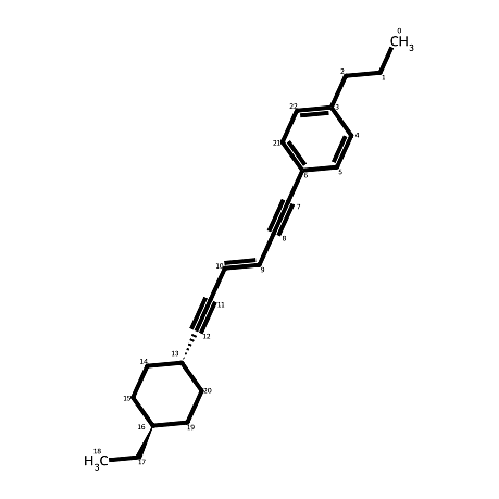 CCCc1ccc(C#C/C=C/C#C[C@H]2CC[C@H](CC)CC2)cc1